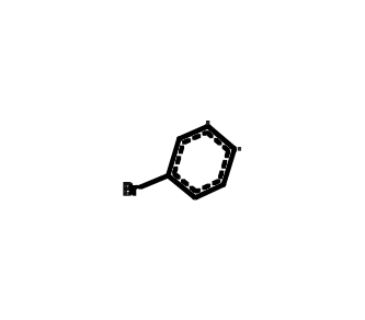 Brc1c[c][c]cc1